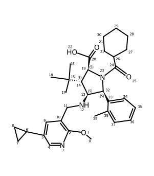 COc1ncc(C2CC2)cc1CN[C@H]1[C@H](C(C)(C)C)[C@@H](C(=O)O)N(C(=O)C2CCCCC2)[C@H]1c1ccccc1C